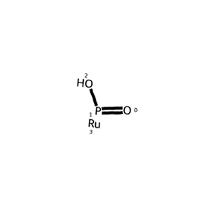 O=PO.[Ru]